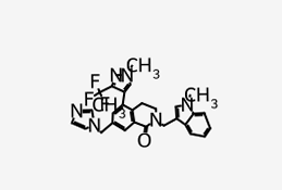 Cc1nccn1Cc1cc2c(c(-c3cn(C)nc3C(F)(F)F)c1)CCN(Cc1cn(C)c3ccccc13)C2=O